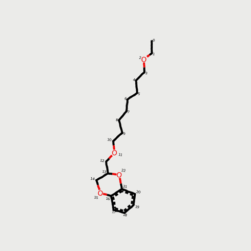 CCOCCCCCCCCOCC1COc2ccccc2O1